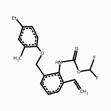 C=Cc1cccc(COc2ccc(CC)cc2C)c1NC(=O)OC(F)F